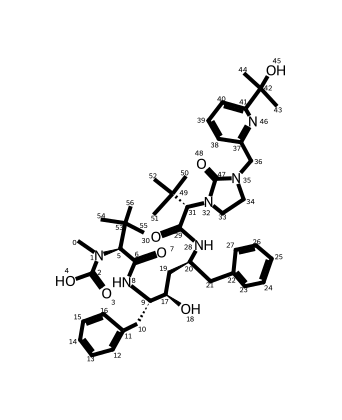 CN(C(=O)O)[C@H](C(=O)N[C@@H](Cc1ccccc1)[C@H](O)C[C@H](Cc1ccccc1)NC(=O)[C@@H](N1CCN(Cc2cccc(C(C)(C)O)n2)C1=O)C(C)(C)C)C(C)(C)C